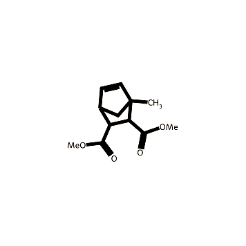 COC(=O)C1C2C=CC(C)(C2)C1C(=O)OC